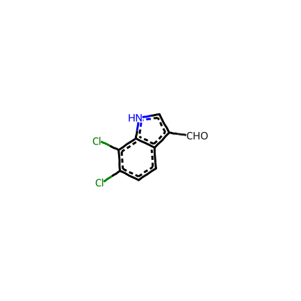 O=Cc1c[nH]c2c(Cl)c(Cl)ccc12